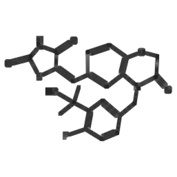 CC(C)(O)c1cc(CN2C(=O)COc3ccc(C=C4SC(=O)NC4=O)cc32)ccc1F